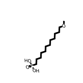 COCCCCCCCCCCCCP(=O)(O)O